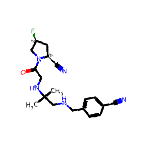 CC(C)(CNCc1ccc(C#N)cc1)NCC(=O)N1C[C@@H](F)C[C@H]1C#N